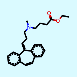 CCOC(=O)CCCN(C)CCC=C1c2ccccc2C=Cc2ccccc21